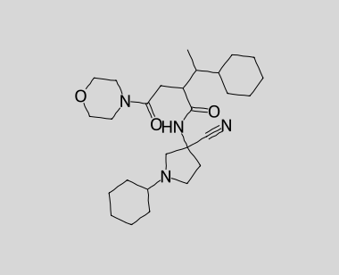 CC(C1CCCCC1)C(CC(=O)N1CCOCC1)C(=O)NC1(C#N)CCN(C2CCCCC2)C1